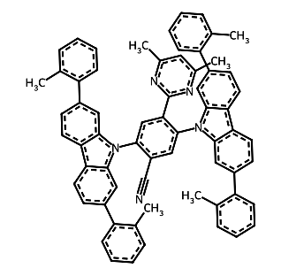 Cc1cc(C)nc(-c2cc(-n3c4cc(-c5ccccc5C)ccc4c4ccc(-c5ccccc5C)cc43)c(C#N)cc2-n2c3cc(-c4ccccc4C)ccc3c3ccc(-c4ccccc4C)cc32)n1